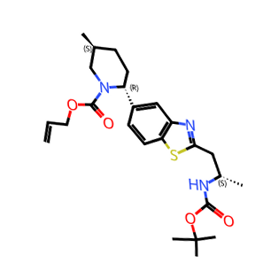 C=CCOC(=O)N1C[C@@H](C)CC[C@@H]1c1ccc2sc(C[C@H](C)NC(=O)OC(C)(C)C)nc2c1